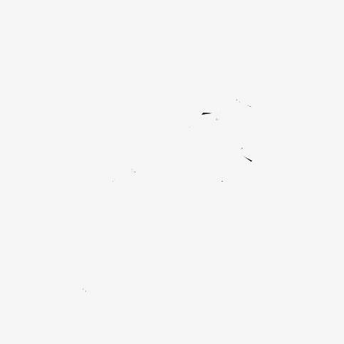 COC(=O)C(=C(C)C)N1C(=O)[C@H]([C@@H](C)O[Si](C)(C)C(C)(C)C)[C@H]1CC(=O)SC1CCN(C(=O)OCc2ccc([N+](=O)[O-])cc2)C1